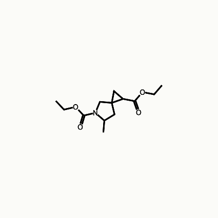 CCOC(=O)C1CC12CC(C)N(C(=O)OCC)C2